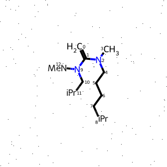 C=C(N(C)CCCCC(C)C)N(CC(C)C)NC